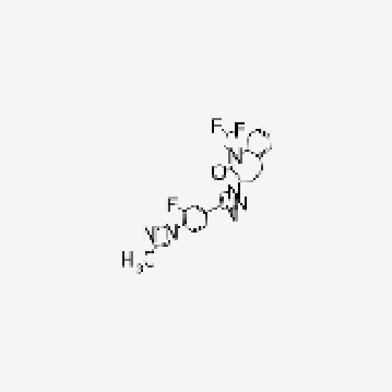 Cc1cn(-c2ccc(-c3cn(C4CCc5ccccc5N(CC(F)F)C4=O)nn3)cc2F)cn1